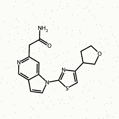 NC(=O)Cc1cc2c(ccn2-c2nc(C3CCOC3)cs2)cn1